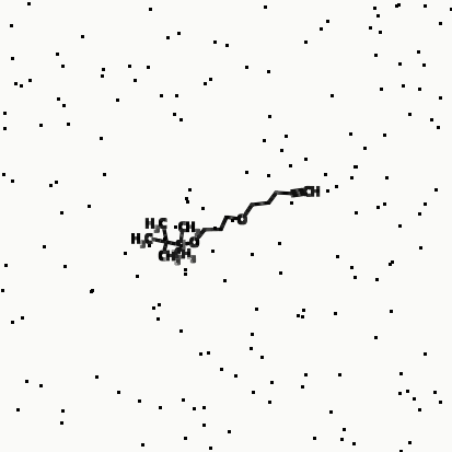 C#CCCCOCCCO[Si](C)(C)C(C)(C)C